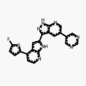 Fc1ccc(-c2ccnc3[nH]c(-c4n[nH]c5ncc(-c6cncnc6)cc45)cc23)s1